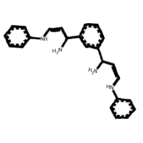 NC(/C=C\Nc1ccccc1)c1cccc(C(N)/C=C\Nc2ccccc2)c1